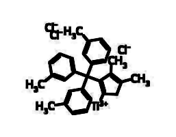 CC1=C(C)C(C(c2cccc(C)c2)(c2cccc(C)c2)c2cccc(C)c2)=[C]([Ti+3])C1.[Cl-].[Cl-].[Cl-]